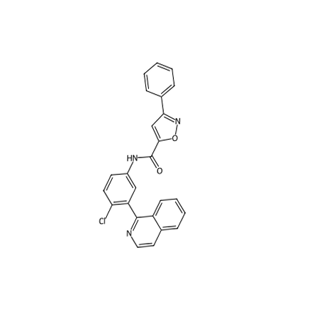 O=C(Nc1ccc(Cl)c(-c2nccc3ccccc23)c1)c1cc(-c2ccccc2)no1